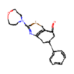 O=C1CC(c2ccccc2)Cc2nc(N3CCOCC3)sc21